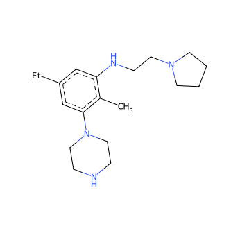 CCc1cc(NCCN2CCCC2)c(C)c(N2CCNCC2)c1